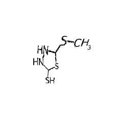 CSC1NNC(S)S1